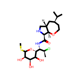 CSC1O[C@H]([C@H](NC(=O)[C@H]2NC[C@@H]3C[C@@H](C(C)C)CCO[C@H]32)[C@H](C)Cl)C(O)[C@@H](O)[C@H]1O